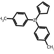 Cc1cc[c]([Zr]([C]2=CC=CC2)[c]2ccc(C)cc2)cc1